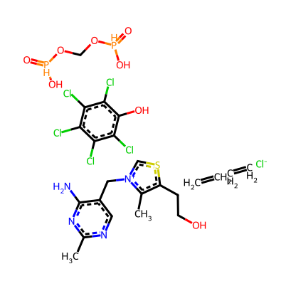 C=C.C=C.Cc1ncc(C[n+]2csc(CCO)c2C)c(N)n1.O=[PH](O)OCO[PH](=O)O.Oc1c(Cl)c(Cl)c(Cl)c(Cl)c1Cl.[Cl-]